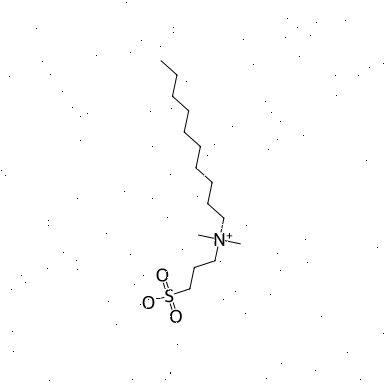 CCCCCCCCCC[N+](C)(C)CCCS(=O)(=O)[O-]